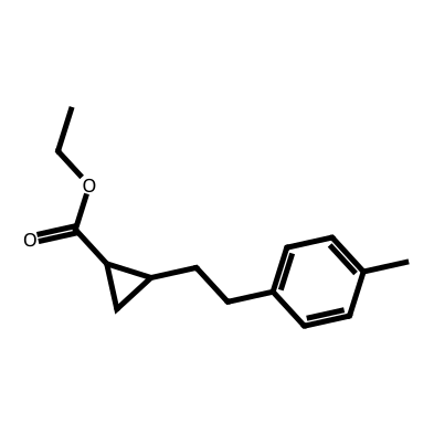 CCOC(=O)C1CC1CCc1ccc(C)cc1